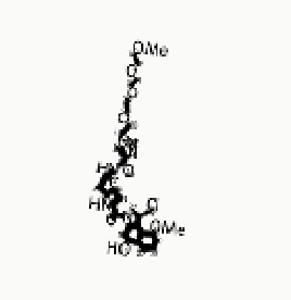 COCCOCCOCCOCCn1cc(C(=O)Nc2ccc3[nH]c(C(=O)N4C[C@@H](CCl)c5c4cc(O)c4cccc(OC)c54)cc3c2)nn1